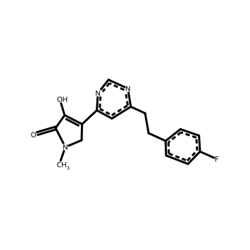 CN1CC(c2cc(CCc3ccc(F)cc3)ncn2)=C(O)C1=O